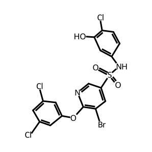 O=S(=O)(Nc1ccc(Cl)c(O)c1)c1cnc(Oc2cc(Cl)cc(Cl)c2)c(Br)c1